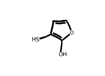 Oc1occc1S